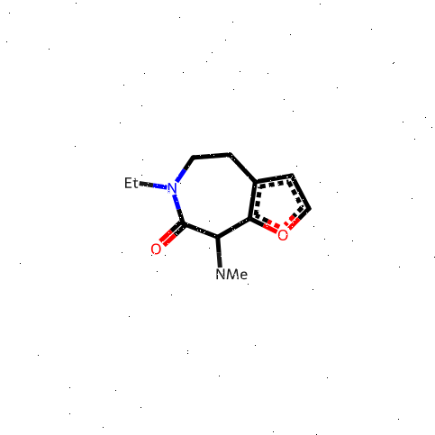 CCN1CCc2ccoc2C(NC)C1=O